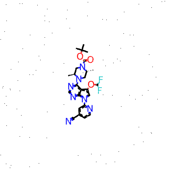 C[C@@H]1CN(c2ncnc3c2c(OC(F)F)cn3-c2cc(C#N)ccn2)[C@@H](C)CN1C(=O)OC(C)(C)C